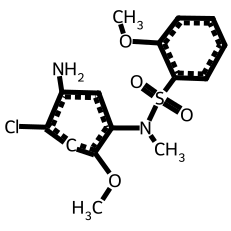 COc1cc(Cl)c(N)cc1N(C)S(=O)(=O)c1ccccc1OC